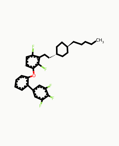 CCCCC[C@H]1CC[C@H](CCc2c(F)c[c]c(Oc3ccccc3-c3cc(F)c(F)c(F)c3)c2F)CC1